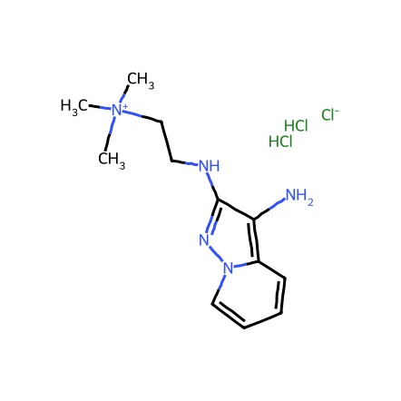 C[N+](C)(C)CCNc1nn2ccccc2c1N.Cl.Cl.[Cl-]